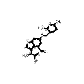 Cc1ccc(COc2cc(C=O)c3c(C(C)C(=O)O)csc3c2)c(C)n1